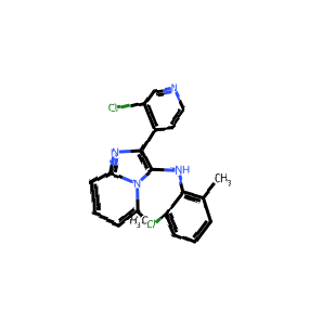 Cc1cccc(Cl)c1Nc1c(-c2ccncc2Cl)nc2cccc(C)n12